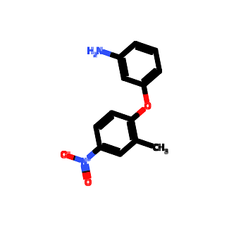 Cc1cc([N+](=O)[O-])ccc1Oc1cccc(N)c1